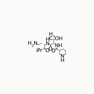 CC(C)C(=O)[C@H](CCN)NC(=O)[C@@H](NC(=O)[C@H]1CCCNC1)C(C)O